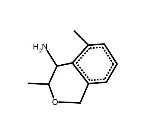 Cc1cccc2c1C(N)C(C)OC2